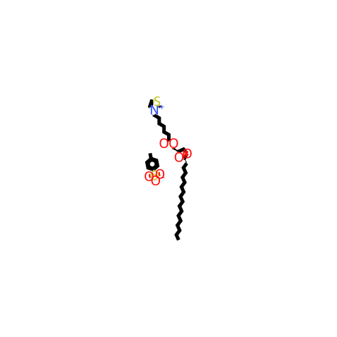 CCCCCCCCCCCCCCCCC[C@H]1OC[C@H](COC(=O)CCCCCC[n+]2ccsc2)O1.Cc1ccc(S(=O)(=O)[O-])cc1